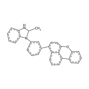 CC1Nc2ccccc2N1c1cccc(-c2ccc3c4c(cccc24)-c2ccccc2O3)c1